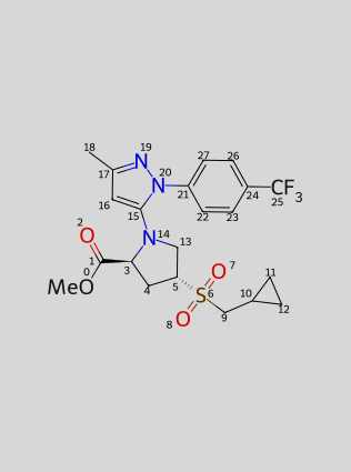 COC(=O)[C@@H]1C[C@@H](S(=O)(=O)CC2CC2)CN1c1cc(C)nn1-c1ccc(C(F)(F)F)cc1